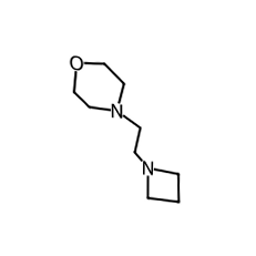 C1CN(CCN2CCOCC2)C1